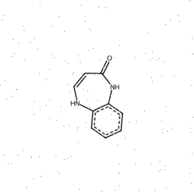 O=C1C=CNc2ccccc2N1